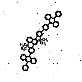 C[Si]1(C)c2cc(-c3ccc(-c4c5ccccc5c(-c5ccccc5)c5ccccc45)cc3)ccc2-c2c1cc1c3c(cccc23)[Si](C)(C)c2cc(-c3c4ccccc4c(-c4ccccc4)c4ccccc34)ccc2-1